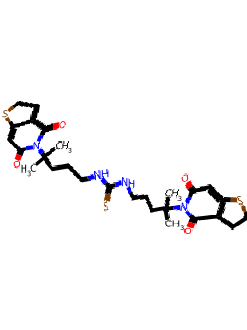 CC(C)(CCCNC(=S)NCCCC(C)(C)N1C(=O)C=C2SCCC2C1=O)N1C(=O)C=C2SCCC2C1=O